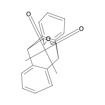 O=C1OC(=O)C2C3c4ccccc4C(c4ccccc43)C12